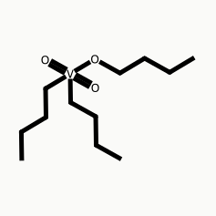 CCCC[O][V](=[O])(=[O])([CH2]CCC)[CH2]CCC